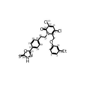 CCc1cccc(OCc2c(Cl)cc(Cl)c(=O)n2CCc2ccc(-c3n[nH]c(=S)o3)cc2)c1